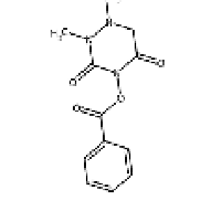 CN1CC(=O)N(OC(=O)c2ccccc2)C(=O)N1C